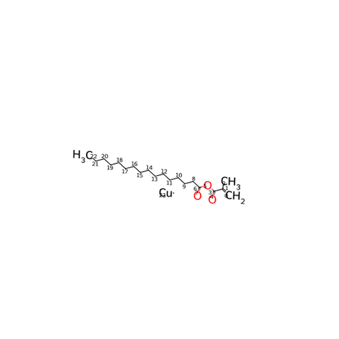 C=C(C)C(=O)OC(=O)CCCCCCCCCCCCCCC.[Cu]